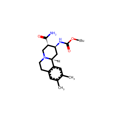 Cc1cc2c(cc1C)[C@@H]1C[C@H](NC(=O)OC(C)(C)C)[C@@H](C(N)=O)CN1CC2